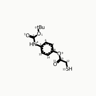 CC(C)(C)OC(=O)Nc1ccc(OC(=O)CS)cc1